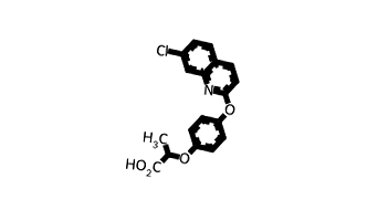 CC(Oc1ccc(Oc2ccc3ccc(Cl)cc3n2)cc1)C(=O)O